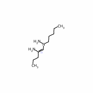 CCCCCN(N)/C=C(\N)CCC